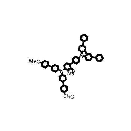 COc1ccc(-c2ccc(N(c3ccc(-c4ccc(C=O)cc4)cc3)c3ccc(-c4ccc(-n5c6ccc(-c7ccccc7)cc6c6cc(-c7ccccc7)ccc65)cc4)c4nsnc34)cc2)cc1